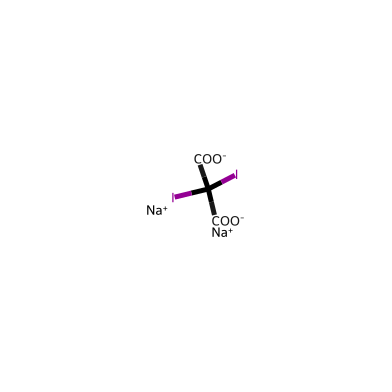 O=C([O-])C(I)(I)C(=O)[O-].[Na+].[Na+]